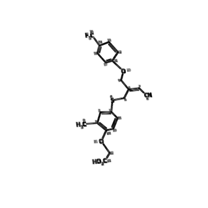 Cc1cc(SC/C(=C\C#N)COc2ccc(C(F)(F)F)cc2)ccc1OCC(=O)O